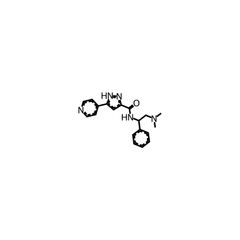 CN(C)CC(NC(=O)c1cc(-c2ccncc2)[nH]n1)c1ccccc1